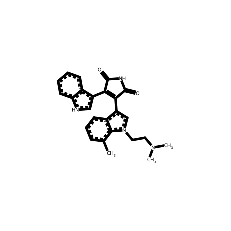 Cc1cccc2c(C3=C(c4c[nH]c5ccccc45)C(=O)NC3=O)cn(CCN(C)C)c12